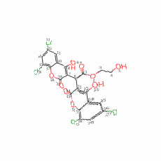 O=C(OCCO)C(c1c(O)c2cc(Cl)cc(Cl)c2oc1=O)c1c(O)c2cc(Cl)cc(Cl)c2oc1=O